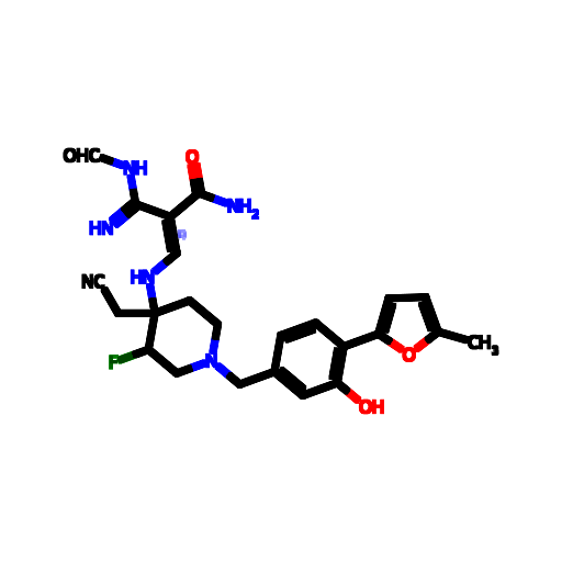 Cc1ccc(-c2ccc(CN3CCC(CC#N)(N/C=C(\C(=N)NC=O)C(N)=O)C(F)C3)cc2O)o1